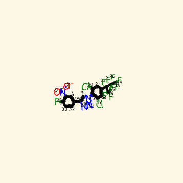 O=[N+]([O-])c1cc(-c2cn(-c3c(Cl)cc(C(F)(C(F)(F)F)C(F)(F)C(F)(F)F)cc3Cl)nn2)ccc1F